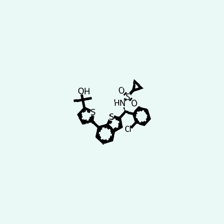 CC(C)(O)c1ccc(-c2cccc3cc([C@H](NS(=O)(=O)C4CC4)c4ccccc4Cl)sc23)s1